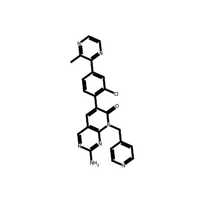 Cc1nccnc1-c1ccc(-c2cc3cnc(N)nc3n(Cc3ccncc3)c2=O)c(Cl)c1